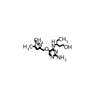 CC[C@@H](CCO)Nc1nc(N)ncc1OCc1cc(C)n(C)n1